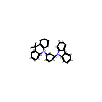 CC1(C)C2=C(C=CCC2)N(c2cccc(-n3c4ccccc4c4ccccc43)c2)c2ccccc21